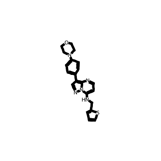 c1csc(CNc2ccnc3c(-c4ccc(N5CCOCC5)cc4)cnn23)c1